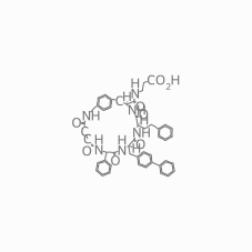 O=C(O)CCNC(=O)[C@@H]1Cc2ccc(cc2)NC(=O)CCC(=O)NC(c2ccccc2)C(=O)N[C@@H](Cc2ccc(-c3ccccc3)cc2)C(=O)N[C@H](CCc2ccccc2)C(=O)N1